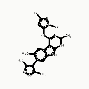 COc1cc2c3c([nH]c2cc1-c1c(C)noc1C)NC(C)N=C3Nc1cc(C(C)C)nn1C(C)C